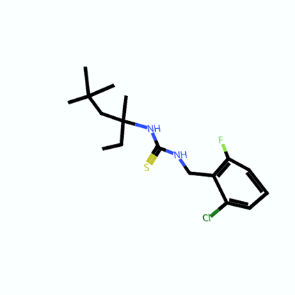 CCC(C)(CC(C)(C)C)NC(=S)NCc1c(F)cccc1Cl